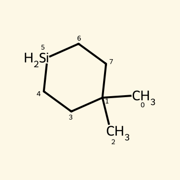 CC1(C)CC[SiH2]CC1